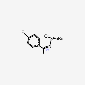 CCCC[S+]([O-])/N=C(/C)c1ccc(F)cc1